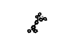 c1ccc(-n2c3ccccc3c3cc(-c4ccc(N(c5ccc6c(c5)sc5ccccc56)c5cccc6c5sc5ccccc56)cc4)ccc32)cc1